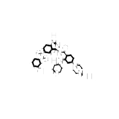 CN1CCN(c2ccc(C(=O)Nc3n[nH]c4ccc(S(=O)(=O)c5cccc(Cl)c5)cc34)c(NC3CCOCC3)c2)CC1